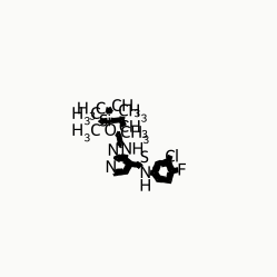 CC(O[Si](C(C)C)(C(C)C)C(C)C)c1nc2nccc(C(=S)Nc3ccc(F)c(Cl)c3)c2[nH]1